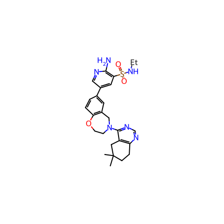 CCNS(=O)(=O)c1cc(-c2ccc3c(c2)CN(c2ncnc4c2CC(C)(C)CC4)CCO3)cnc1N